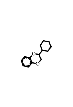 c1ccc2c(c1)OCC(C1CCCCC1)O2